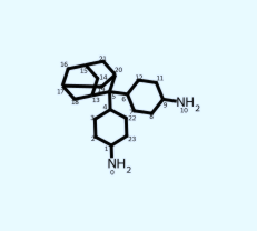 NC1CCC(C2(C3CCC(N)CC3)C3CC4CC(C3)CC2C4)CC1